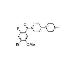 CCc1cc(F)c(C(=O)N2CCC(N3CCN(C)CC3)CC2)cc1OC